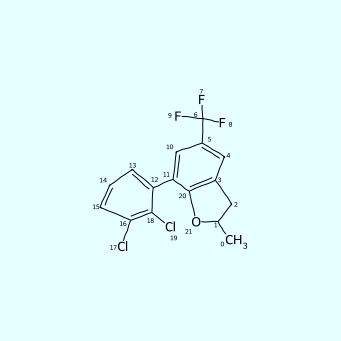 CC1Cc2cc(C(F)(F)F)cc(-c3cccc(Cl)c3Cl)c2O1